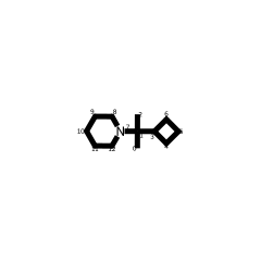 CC(C)(C1CCC1)N1CCCCC1